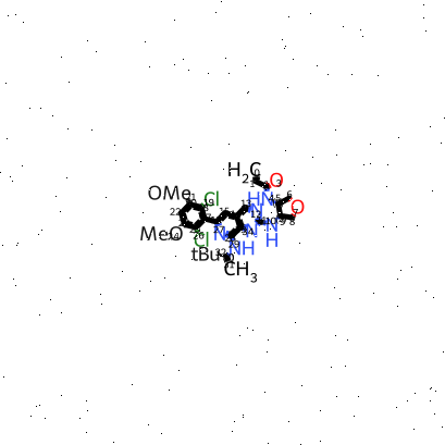 C=CC(=O)N[C@H]1COC[C@H]1Nc1ncc2cc(-c3c(Cl)c(OC)cc(OC)c3Cl)nc(N[C@@H](C)C(C)(C)C)c2n1